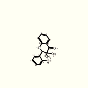 CC1(O)C(=O)c2ccccc2OC1c1ccccc1O